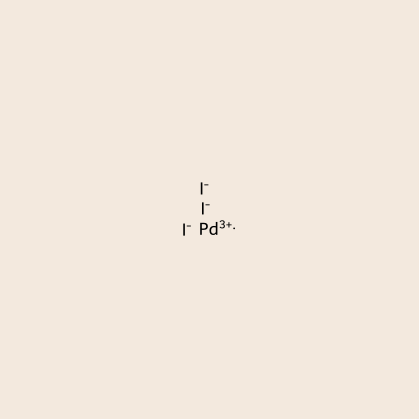 [I-].[I-].[I-].[Pd+3]